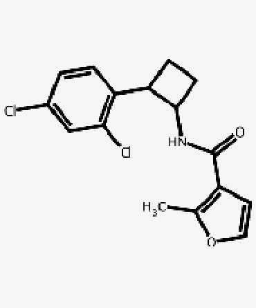 Cc1occc1C(=O)NC1CCC1c1ccc(Cl)cc1Cl